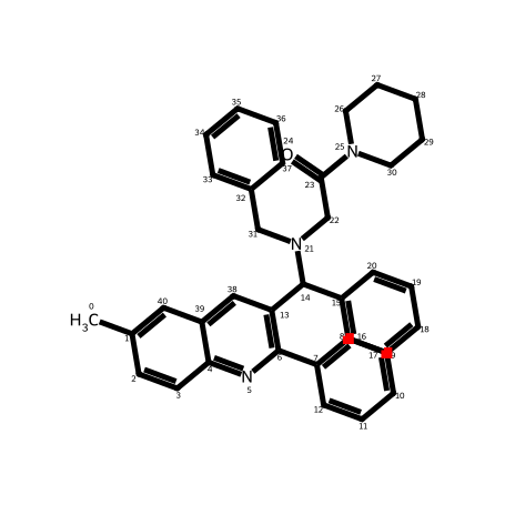 Cc1ccc2nc(-c3ccccc3)c(C(c3ccccc3)N(CC(=O)N3CCCCC3)Cc3ccccc3)cc2c1